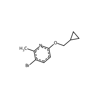 Cc1nc(OCC2CC2)ccc1Br